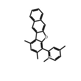 Cc1cc[n+](C)c(-c2c(C)cc(C)c3c2oc2cc4ccccc4cc23)c1